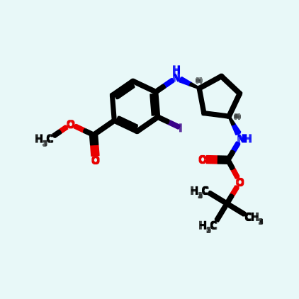 COC(=O)c1ccc(N[C@H]2CC[C@@H](NC(=O)OC(C)(C)C)C2)c(I)c1